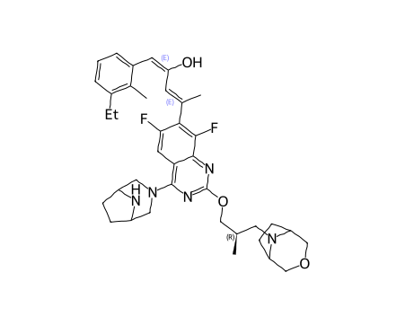 CCc1cccc(/C=C(O)\C=C(/C)c2c(F)cc3c(N4CC5CCC(C4)N5)nc(OC[C@H](C)CN4C5CCC4COC5)nc3c2F)c1C